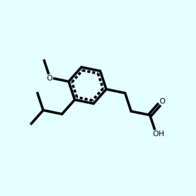 COc1ccc(CCC(=O)O)cc1CC(C)C